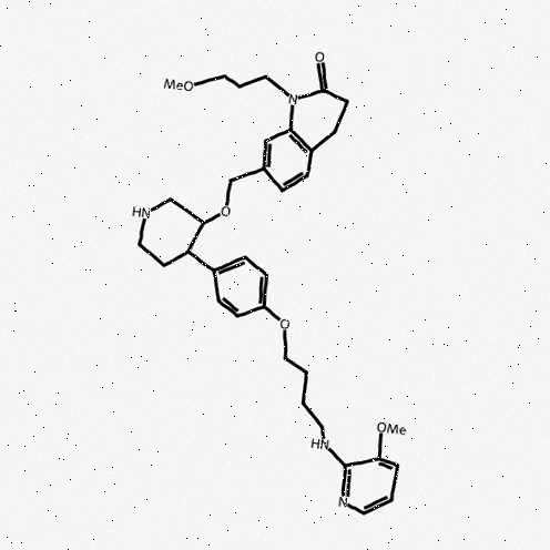 COCCCN1C(=O)CCc2ccc(COC3CNCCC3c3ccc(OCCCCNc4ncccc4OC)cc3)cc21